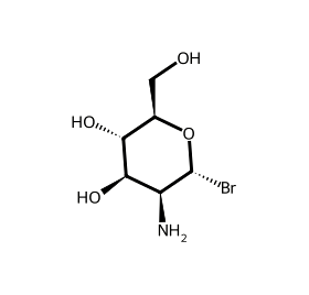 N[C@H]1[C@@H](O)[C@H](O)[C@@H](CO)O[C@@H]1Br